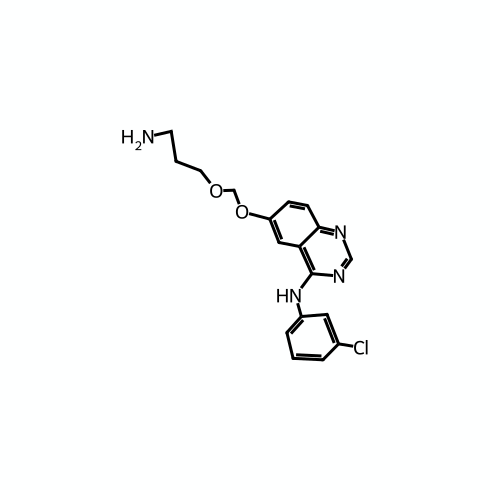 NCCCOCOc1ccc2ncnc(Nc3cccc(Cl)c3)c2c1